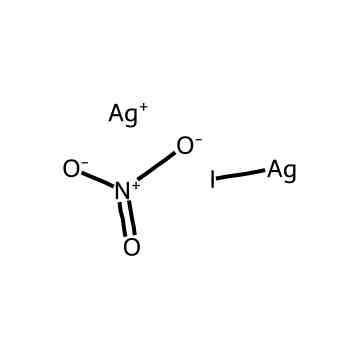 O=[N+]([O-])[O-].[Ag+].[Ag][I]